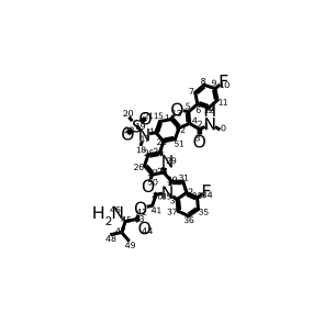 CNC(=O)c1c(-c2ccc(F)cc2)oc2cc(N(C)S(C)(=O)=O)c(-c3ccc4c(n3)-c3cc5c(F)cccc5n3C(COC(=O)[C@@H](N)C(C)C)O4)cc12